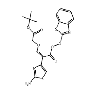 CC(C)(C)OC(=O)CON=C(C(=O)OSc1nc2ccccc2s1)c1csc(N)n1